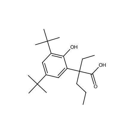 CCCC(CC)(C(=O)O)c1cc(C(C)(C)C)cc(C(C)(C)C)c1O